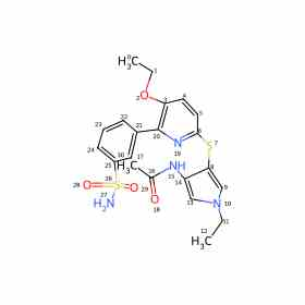 CCOc1ccc(Sc2cn(CC)cc2NC(C)=O)nc1-c1cccc(S(N)(=O)=O)c1